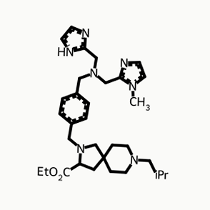 CCOC(=O)C1CC2(CCN(CC(C)C)CC2)CN1Cc1ccc(CN(Cc2ncc[nH]2)Cc2nccn2C)cc1